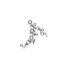 C=CC(=O)N1CCC(N2C(=O)N(c3ccccc3)Cc3cnc(Nc4ccc(N5CCN(C)CC5)c(C(F)(F)F)c4)nc32)C1